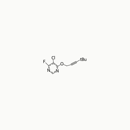 CC(C)(C)C#CCOc1ncnc(F)c1Cl